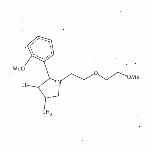 CCC1C(C)CN(CCOCCOC)C1c1ccccc1OC